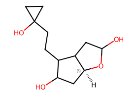 OC1CC2C(CCC3(O)CC3)C(O)C[C@@H]2O1